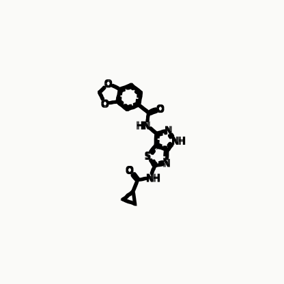 O=C(Nc1n[nH]c2nc(NC(=O)C3CC3)sc12)c1ccc2c(c1)OCO2